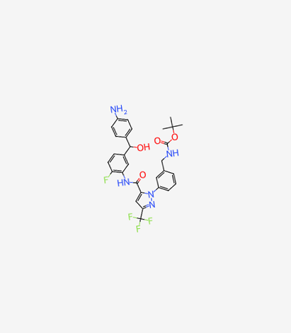 CC(C)(C)OC(=O)NCc1cccc(-n2nc(C(F)(F)F)cc2C(=O)Nc2cc(C(O)c3ccc(N)cc3)ccc2F)c1